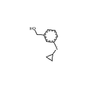 OCc1cccc(SC2CC2)c1